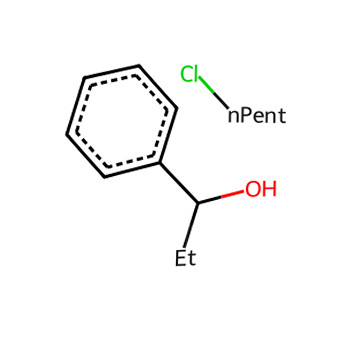 CCC(O)c1ccccc1.CCCCCCl